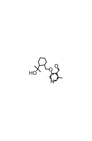 Cc1cncc(OCC2CCCCC2C(C)(C)O)c1C=O